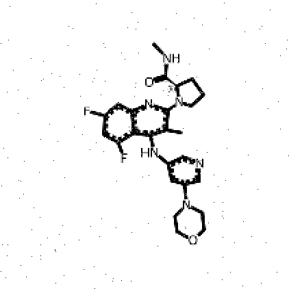 CNC(=O)[C@H]1CCCN1c1nc2cc(F)cc(F)c2c(Nc2cncc(N3CCOCC3)c2)c1C